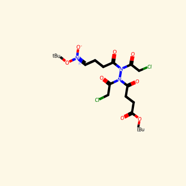 CC(C)(C)OC(=O)CCC(=O)N(C(=O)CCl)N(C(=O)CCl)C(=O)CC/C=[N+](\[O-])OC(C)(C)C